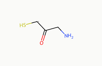 NCC(=O)[CH]S